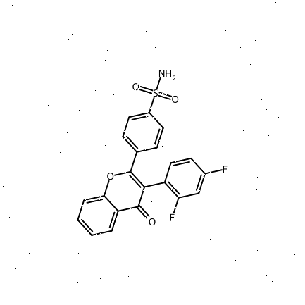 NS(=O)(=O)c1ccc(-c2oc3ccccc3c(=O)c2-c2ccc(F)cc2F)cc1